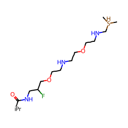 CC(C)C(=O)NCC(F)COCCNCCOCCNC[SH](C)C